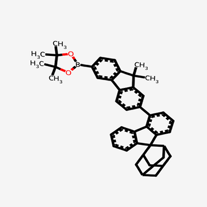 CC1(C)c2ccc(B3OC(C)(C)C(C)(C)O3)cc2-c2ccc(-c3cccc4c3-c3ccccc3C43C4CC5CC(C4)CC3C5)cc21